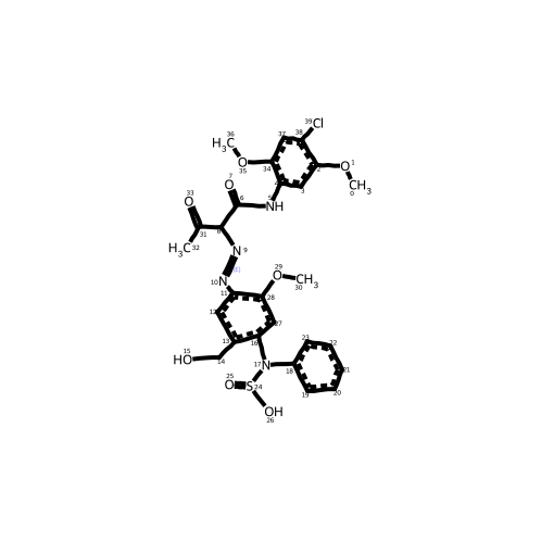 COc1cc(NC(=O)C(/N=N/c2cc(CO)c(N(c3ccccc3)S(=O)O)cc2OC)C(C)=O)c(OC)cc1Cl